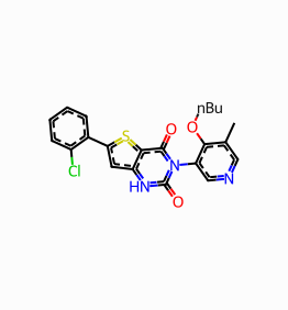 CCCCOc1c(C)cncc1-n1c(=O)[nH]c2cc(-c3ccccc3Cl)sc2c1=O